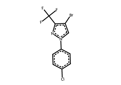 FC(F)(F)c1nn(-c2ccc(Cl)cc2)cc1Br